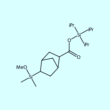 CO[Si](C)(C)C1CC2CC1CC2C(=O)O[Si](C(C)C)(C(C)C)C(C)C